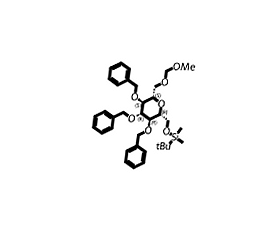 COCOC[C@@H]1O[C@H](CO[Si](C)(C)C(C)(C)C)[C@@H](OCc2ccccc2)[C@H](OCc2ccccc2)[C@H]1OCc1ccccc1